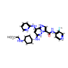 O=C(O)CN[C@H]1CC[C@H](Nc2cc(Nc3ccccn3)c3ncc(C(=O)Nc4ccncc4F)n3n2)CC1